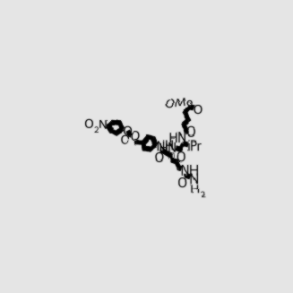 COC(=O)CCCC(=O)NC(C(=O)N[C@@H](CCCNC(N)=O)C(=O)Nc1ccc(COC(=O)Oc2ccc([N+](=O)[O-])cc2)cc1)C(C)C